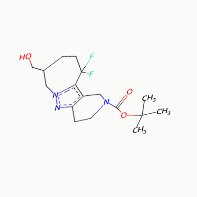 CC(C)(C)OC(=O)N1CCc2nn3c(c2C1)C(F)(F)CCC(CO)C3